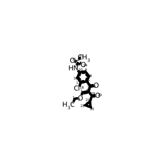 CCOC=C(C(=O)c1ccc(NS(C)(=O)=O)cc1Cl)C(=O)C1CC1